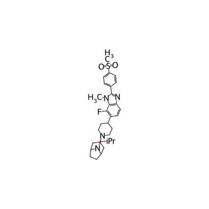 CC(C)CN1C2CCC1CC(N1CCC(c3ccc4nc(-c5ccc(S(C)(=O)=O)cc5)n(C)c4c3F)CC1)C2